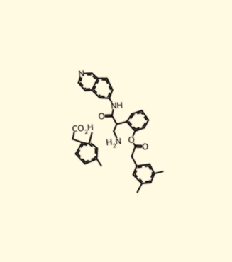 Cc1cc(C)cc(CC(=O)Oc2ccccc2C(CN)C(=O)Nc2ccc3cnccc3c2)c1.Cc1ccc(CC(=O)O)c(C)c1